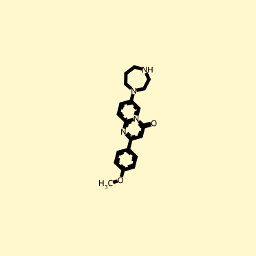 COc1ccc(-c2cc(=O)n3cc(N4CCCNCC4)ccc3n2)cc1